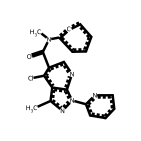 Cc1nn(-c2ccccn2)c2ncc(C(=O)N(C)c3ccccc3)c(Cl)c12